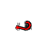 COc1ccc2c(c1)C(c1ccc(Cl)cc1)=N[C@@H](CC(=O)NCCOCCOCCOCCOCCOCCOCCOCCOCCC(=O)NCCCN(C)CCCNC(=O)c1cc(NC(=O)c3nc(NC(=O)CCNC(=O)c4cc(NC(=O)c5nc(NC(=O)CCNC(=O)c6cc(NC(=O)c7nccn7C)cn6C)cn5C)cn4C)cn3C)cn1C)c1nnc(C)n1-2